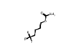 NC(=O)OCCCCC(F)(F)F